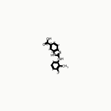 Cc1c(F)cccc1Nc1nc2ccc(C(=O)O)cc2[nH]1